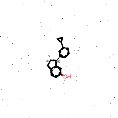 C[C@H]1Cc2ccc(O)cc2[C@@H]1c1cccc(C2CC2)c1